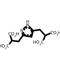 O=C(O)C(Cc1cc(CC(C(=O)O)C(=O)O)[nH]n1)C(=O)O